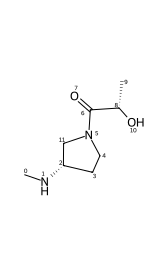 CN[C@H]1CCN(C(=O)[C@H](C)O)C1